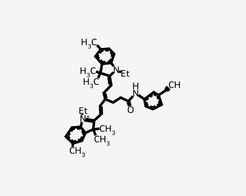 C#Cc1cccc(NC(=O)CCC(/C=C/C2=[N+](CC)c3ccc(C)cc3C2(C)C)=C\C=C2\N(CC)c3ccc(C)cc3C2(C)C)c1